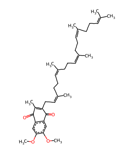 COc1cc2c(cc1OC)C(=O)C(CC=C(C)CCC=C(C)CCC=C(C)CCC=C(C)CCC=C(C)C)=C(C)C2=O